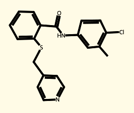 Cc1cc(NC(=O)c2ccccc2SCc2ccncc2)ccc1Cl